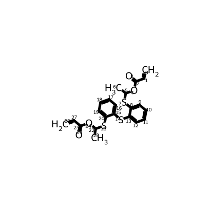 C=CC(=O)OC(C)Sc1ccccc1Sc1ccccc1SC(C)OC(=O)C=C